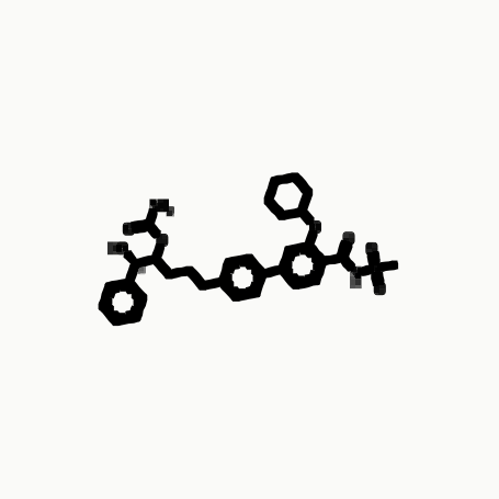 CS(=O)(=O)NC(=O)c1ccc(-c2ccc(CCCC(OC(N)=O)[C@H](O)c3ccccc3)cc2)cc1OC1CCCCC1